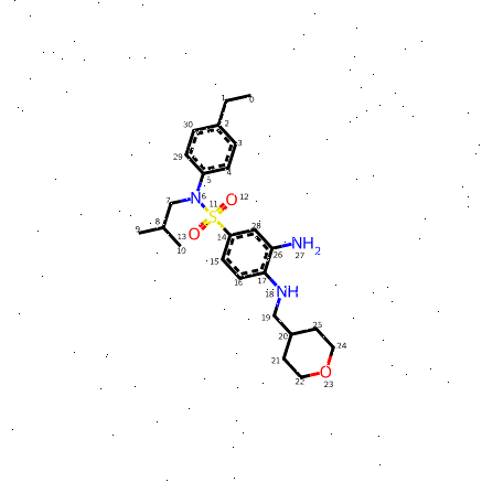 CCc1ccc(N(CC(C)C)S(=O)(=O)c2ccc(NCC3CCOCC3)c(N)c2)cc1